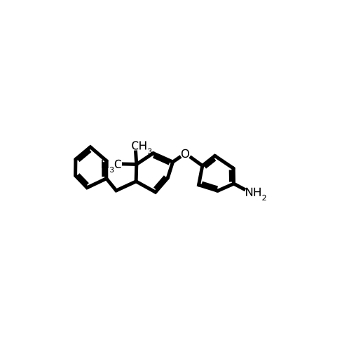 CC1(C)C=C(Oc2ccc(N)cc2)C=CC1Cc1ccccc1